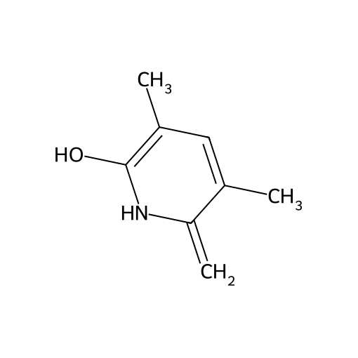 C=C1NC(O)=C(C)C=C1C